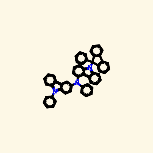 c1ccc(N(c2ccc3c(c2)c2ccccc2n3-c2ccccc2)c2cccc3c2c2ccccc2n3C2(c3ccccc3)c3ccccc3-c3ccccc32)cc1